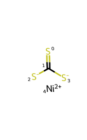 S=C([S-])[S-].[Ni+2]